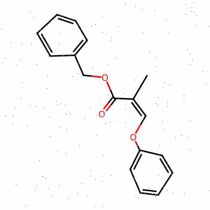 CC(=COc1ccccc1)C(=O)OCc1ccccc1